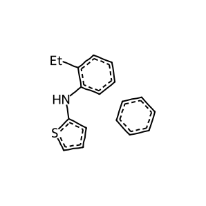 CCc1ccccc1Nc1cccs1.c1ccccc1